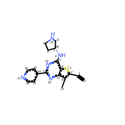 C#Cc1sc2c(N[C@@H]3CCNC3)nc(-c3ccncc3)nc2c1C